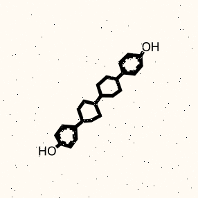 Oc1ccc(C2CCC(C3CCC(c4ccc(O)cc4)CC3)CC2)cc1